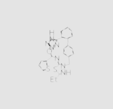 CCC1NN(Cc2ccc(-c3ccccc3-c3nnn[nH]3)cc2)C(=NC(=O)c2cccs2)S1